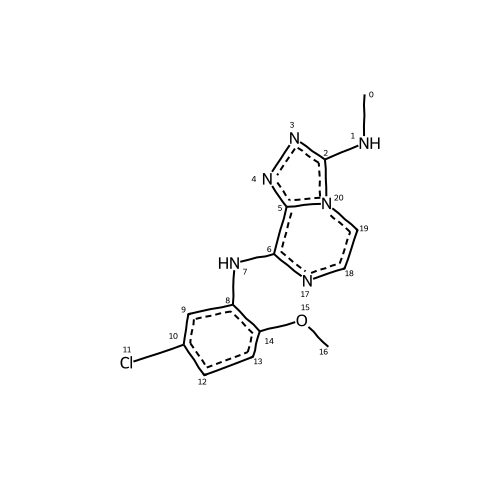 CNc1nnc2c(Nc3cc(Cl)ccc3OC)nccn12